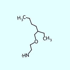 CCCCC(CC)COCC[NH]